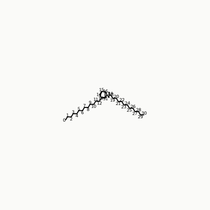 CCCCCCCCCCCCCc1ccc[n+](CCCCCCCCCCCCC)c1